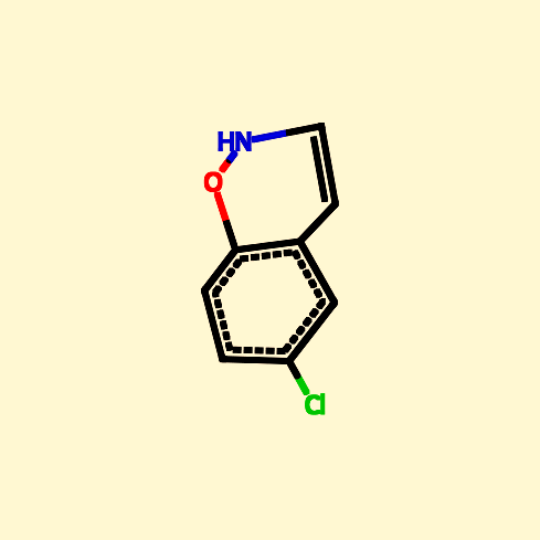 Clc1ccc2c(c1)C=CNO2